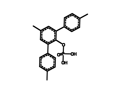 Cc1ccc(-c2cc(C)cc(-c3ccc(C)cc3)c2OP(=O)(O)O)cc1